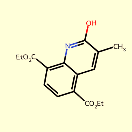 CCOC(=O)c1ccc(C(=O)OCC)c2nc(O)c(C)cc12